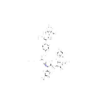 N=C(NC1[C@H]2CNC[C@@H]12)c1ccc(OC[C@H](O/N=C(\C(=O)N[C@@H]2C(=O)N(S(=O)(=O)O)[C@@H]2Cn2cncn2)c2csc(N)n2)C(=O)O)cc1